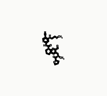 CSCCNc1cc(NC(=O)N2CCCc3cc(CN(C)C(=O)C4CCCO4)c(C=O)nc32)ncc1C#N